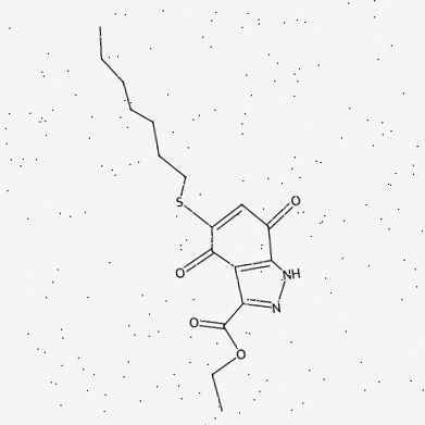 CCCCCCCSC1=CC(=O)c2[nH]nc(C(=O)OCC)c2C1=O